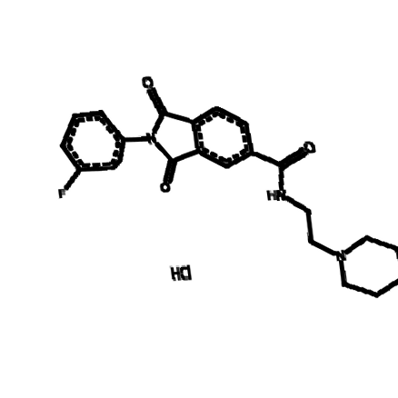 Cl.O=C(NCCN1CCCCC1)c1ccc2c(c1)C(=O)N(c1cccc(F)c1)C2=O